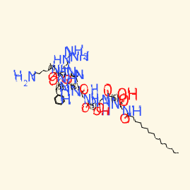 CCCCCCCCCCCCCCCC(=O)NCC(=O)N[C@@H](CO)C(=O)NCC(=O)N[C@@H](CO)C(=O)NCC(=O)N[C@@H](Cc1c[nH]cn1)C(=O)N[C@@H](Cc1ccccc1)C(=O)N[C@@H](CCCNC(=N)N)C(=O)N[C@H](C)CCCCN